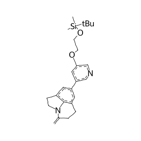 C=C1CCc2cc(-c3cncc(OCCO[Si](C)(C)C(C)(C)C)c3)cc3c2N1CC3